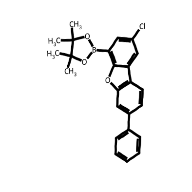 CC1(C)OB(c2cc(Cl)cc3c2oc2cc(-c4ccccc4)ccc23)OC1(C)C